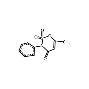 CC1=CC(=O)N(c2ccccc2)S(=O)(=O)O1